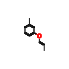 CC=COc1cccc(C)c1